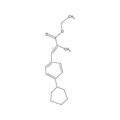 CCOC(=O)/C(C)=C/c1ccc(C2CCCCC2)cc1